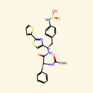 COC(=O)NC(Cc1ccccc1)C(=O)N[C@H](Cc1ccc(NS(=O)O)cc1)c1csc(-c2cccs2)n1